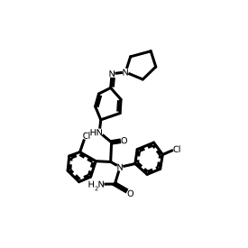 NC(=O)N(c1ccc(Cl)cc1)C(C(=O)NC1C=CC(=NN2CCCC2)C=C1)c1ccccc1Cl